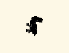 CNC(=O)c1c(-c2ccc(F)cc2)oc2ccc(-c3cc(C(=O)NC4(c5nc6ccncc6o5)CC4)ccc3C)cc12